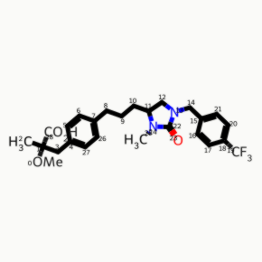 COC(C)(Cc1ccc(CCCC2CN(Cc3ccc(C(F)(F)F)cc3)C(=O)N2C)cc1)C(=O)O